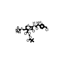 Cn1nnnc1SCC1=C(C(=O)OCOC(=O)C(C)(C)C)N2C(=O)C(NC(=O)C(N)c3ccc(CCl)cc3)C2SC1